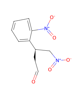 O=CC[C@H](C[N+](=O)[O-])c1ccccc1[N+](=O)[O-]